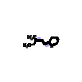 CC/C(C)=C\C=C1/CC=CC=N1